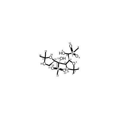 CC1(C)O[C@H](C(O)S(C)(=O)=O)[C@H]([C@](O)([C@H]2COC(C)(C)O2)S(C)(=O)=O)O1